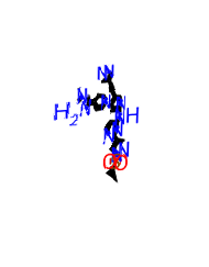 CN(C)CC(N)C1CCN(c2cc(Nc3ccnc(-c4cnn(S(=O)(=O)C5CC5)c4)n3)ncc2C#Cc2cnn(C)c2)CC1